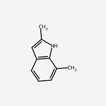 Cc1cc2[c]ccc(C)c2[nH]1